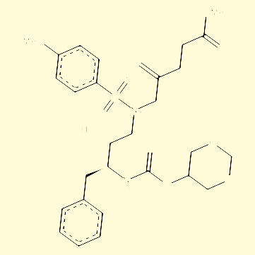 C=C(CCC(=O)OC)CN(C[C@@H](O)[C@H](Cc1ccccc1)NC(=O)OC1COCOC1)S(=O)(=O)c1ccc(OC)cc1